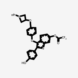 CCCN1CC(Oc2ccc(Oc3c(-c4ccc(O)cc4)sc4cc(OC(=O)C(F)(F)F)ccc34)cc2)C1